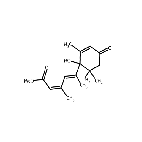 COC(=O)/C=C(C)\C=C(/C)C1(O)C(C)=CC(=O)CC1(C)C